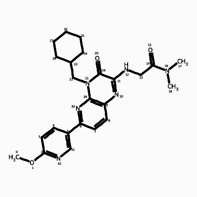 COc1ccc(-c2ccc3nc(NCC(=O)N(C)C)c(=O)n(CC4CCCCC4)c3n2)cn1